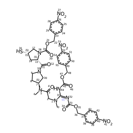 CN(CC(=O)N(C)[C@H]1CCN(C(=O)[C@@H]2C[C@H](S)CN2C(=O)OCc2ccc([N+](=O)[O-])cc2)C1)/C(=N\C(=O)OCc1ccc([N+](=O)[O-])cc1)NC(=O)OCc1ccc([N+](=O)[O-])cc1